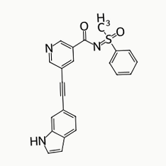 CS(=O)(=NC(=O)c1cncc(C#Cc2ccc3cc[nH]c3c2)c1)c1ccccc1